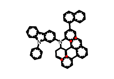 C1=CCC(N(c2cccc(-c3cccc4ccccc34)c2)c2ccc3c4ccccc4n(-c4ccccc4)c3c2)C(c2cccc3cccc(-c4ccccc4)c23)=C1